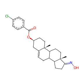 C[C@]12CC[C@H](OC(=O)c3ccc(Cl)cc3)CC1=CCC1C2CC[C@]2(C)C(=NO)CCC12